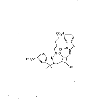 CCN1C(=CC2=C(O)C(C=C3N(CCCCCC(=O)O)c4ccc(S(=O)(=O)O)cc4C3(C)C)C2O)Sc2ccccc21